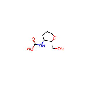 O=C(O)N[C@H]1CCCO[C@@H]1CO